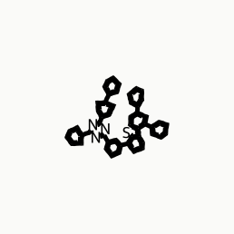 c1ccc(-c2ccc(-c3nc(-c4ccccc4)nc(-c4cccc(-c5cccc6c5sc5cc(-c7ccccc7)cc(-c7ccccc7)c56)c4)n3)cc2)cc1